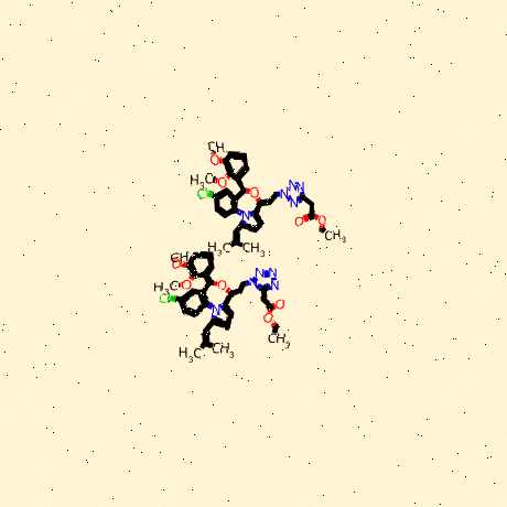 CCOC(=O)Cc1nnn(CCC2OC(c3cccc(OC)c3OC)c3cc(Cl)ccc3-n3c(C=C(C)C)ccc32)n1.CCOC(=O)Cc1nnnn1CCC1OC(c2cccc(OC)c2OC)c2cc(Cl)ccc2-n2c(C=C(C)C)ccc21